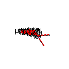 CCCCCCCCCCCCC/C=C/[C@@H](O)[C@H](CO[C@@H]1OC(CO)[C@@H](O[C@@H]2OC(CO)[C@H](O)[C@H](O[C@@H]3OC(CO)[C@@H](O[C@@H]4OC(CO)[C@H](O)[C@H](O[C@H]5OC(CO)[C@H](O)[C@H](O[C@@H]6OC(CO)[C@H](O)[C@H](O)C6O)C5NC(C)=O)C4O[C@H]4OC(C)[C@@H](O)C(O)[C@@H]4O)[C@H](O)C3NC(C)=O)C2O)[C@H](O)C1O)NC(=O)CCCCCCCCCCCCCCC